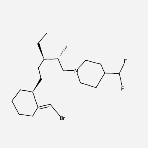 CC[C@H](CC[C@@H]1CCCC/C1=C\Br)[C@H](C)CN1CCC(C(F)F)CC1